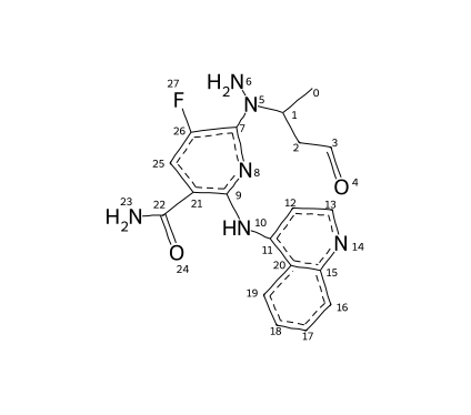 CC(CC=O)N(N)c1nc(Nc2ccnc3ccccc23)c(C(N)=O)cc1F